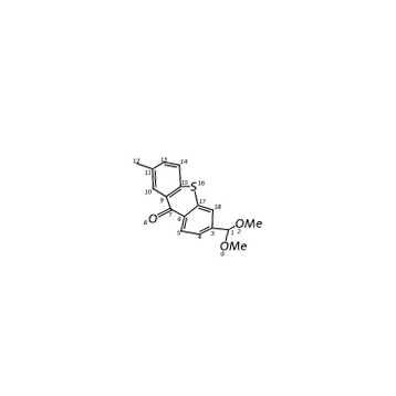 COC(OC)c1ccc2c(=O)c3cc(C)ccc3sc2c1